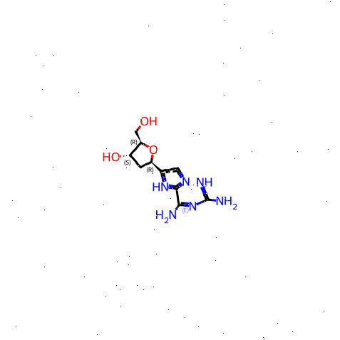 N=C(N)/N=C(/N)c1ncc([C@H]2C[C@H](O)[C@@H](CO)O2)[nH]1